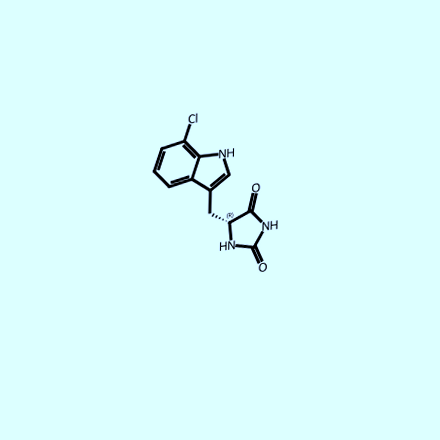 O=C1NC(=O)[C@@H](Cc2c[nH]c3c(Cl)cccc23)N1